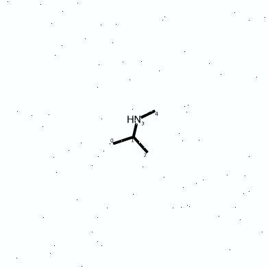 [CH2]C(C)NC